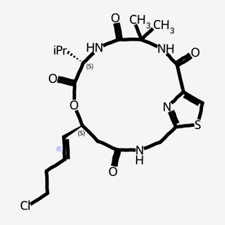 CC(C)[C@@H]1NC(=O)C(C)(C)NC(=O)c2csc(n2)CNC(=O)C[C@@H](/C=C/CCCl)OC1=O